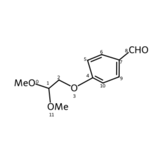 COC(COc1ccc(C=O)cc1)OC